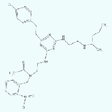 CCCC(C)NCCNc1nc(NCCN(Cc2ccccc2[N+](=O)[O-])C(C)=O)nc(SCc2ccc(Cl)cc2)n1